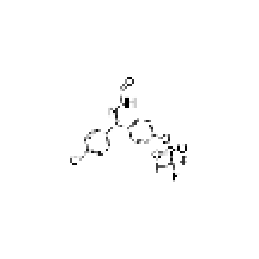 O=CNN=C(c1ccc(Cl)cc1)c1ccc(OS(=O)(=O)C(F)(F)F)cc1